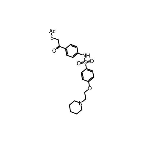 CC(=O)SCC(=O)c1ccc(NS(=O)(=O)c2ccc(OCCN3CCCCC3)cc2)cc1